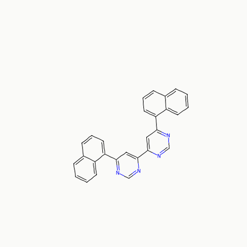 c1ccc2c(-c3cc(-c4cc(-c5cccc6ccccc56)ncn4)ncn3)cccc2c1